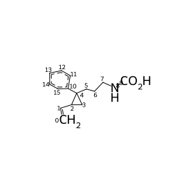 C=CC1CC1(CCCNC(=O)O)c1ccccc1